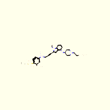 COCCN1CCC(Nc2cccc3c2cc(C#CCNc2ccc(S(C)(=O)=O)c(OC)c2)n3CC(F)(F)F)CC1